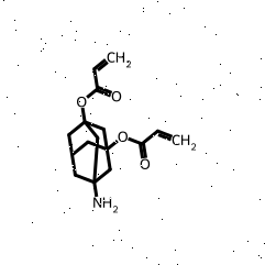 C=CC(=O)OC12CC3CC(N)(C1)CC(OC(=O)C=C)(C3)C2